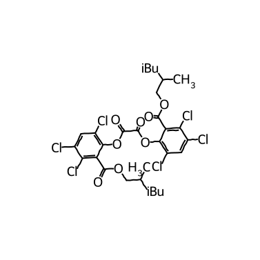 CCC(C)C(C)COC(=O)c1c(Cl)c(Cl)cc(Cl)c1OC(=O)C(=O)Oc1c(Cl)cc(Cl)c(Cl)c1C(=O)OCC(C)C(C)CC